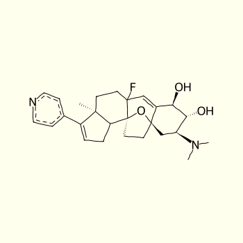 CN(C)[C@H]1C[C@@]23CC[C@]4(O2)C2CC=C(c5ccncc5)[C@@]2(C)CCC4(F)C=C3[C@@H](O)[C@@H]1O